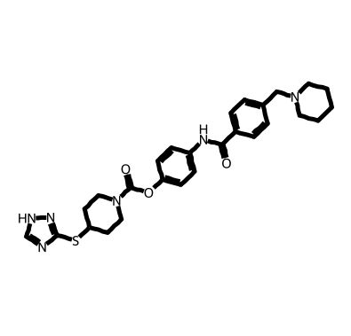 O=C(Nc1ccc(OC(=O)N2CCC(Sc3nc[nH]n3)CC2)cc1)c1ccc(CN2CCCCC2)cc1